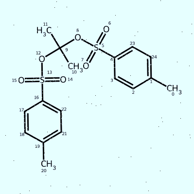 Cc1ccc(S(=O)(=O)OC(C)(C)OS(=O)(=O)c2ccc(C)cc2)cc1